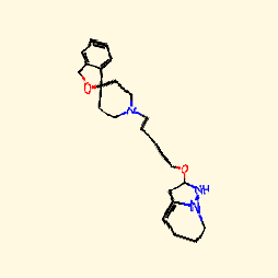 C1=C2CC(OCCCCN3CCC4(CC3)OCc3ccccc34)NN2CCC1